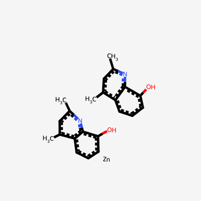 Cc1cc(C)c2cccc(O)c2n1.Cc1cc(C)c2cccc(O)c2n1.[Zn]